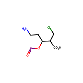 NCCC(OP=O)C(CCl)C(=O)O